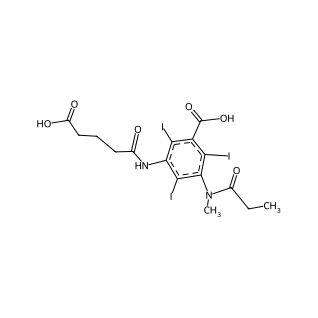 CCC(=O)N(C)c1c(I)c(NC(=O)CCCC(=O)O)c(I)c(C(=O)O)c1I